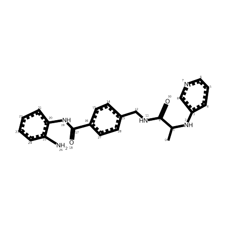 CC(Nc1cccnc1)C(=O)NCc1ccc(C(=O)Nc2ccccc2N)cc1